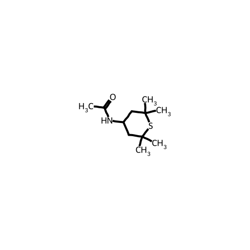 CC(=O)NC1CC(C)(C)SC(C)(C)C1